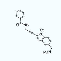 CCn1c(C#CCNC(=O)c2ccccc2)cc2cc(CNC)ccc21